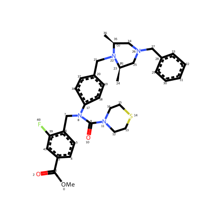 COC(=O)c1ccc(CN(C(=O)N2CCSCC2)c2ccc(CN3[C@H](C)CN(Cc4ccccc4)C[C@@H]3C)cc2)c(F)c1